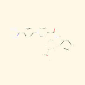 N=C(N)c1ccc(N2CCC(C(=O)N(Cc3ccccc3)[C@H]3CC[C@H](C(=O)O)CC3)CC2)cc1